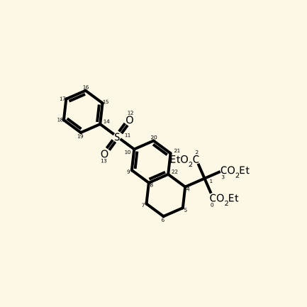 CCOC(=O)C(C(=O)OCC)(C(=O)OCC)C1CCCc2cc(S(=O)(=O)c3ccccc3)ccc21